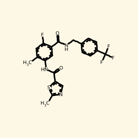 Cc1ncc(C(=O)Nc2cc(C(=O)NCc3ccc(C(F)(F)F)cc3)c(F)cc2C)s1